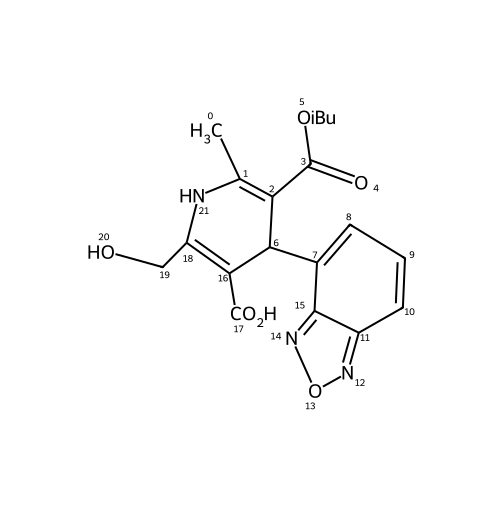 CC1=C(C(=O)OCC(C)C)C(c2cccc3nonc23)C(C(=O)O)=C(CO)N1